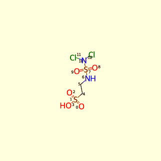 O=S(=O)(O)CCNS(=O)(=O)N(Cl)Cl